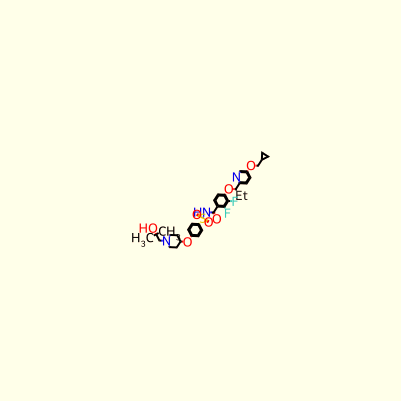 CC[C@@H](Oc1ccc(C(=O)NS(=O)(=O)c2ccc(OC3CCN(CC(C)(C)O)CC3)cc2)c(F)c1F)c1ccc(OCC2CC2)cn1